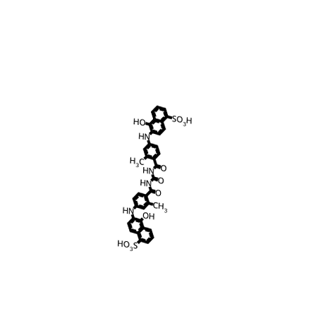 Cc1cc(Nc2ccc3c(S(=O)(=O)O)cccc3c2O)ccc1C(=O)NC(=O)NC(=O)c1ccc(Nc2ccc3c(S(=O)(=O)O)cccc3c2O)cc1C